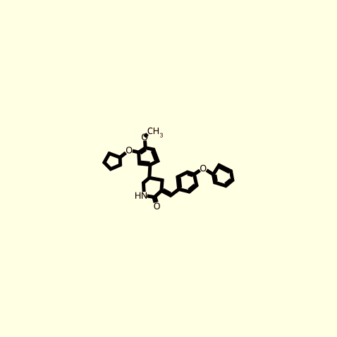 COc1ccc(C2CNC(=O)C(=Cc3ccc(Oc4ccccc4)cc3)C2)cc1OC1CCCC1